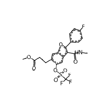 CNC(=O)c1c(-c2ccc(F)cc2)oc2cc(CCC(=O)OC)c(OS(=O)(=O)C(F)(F)F)cc12